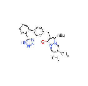 CCCCc1c(Cc2ccc(-c3ccccc3-c3nnn[nH]3)cc2)c(=O)n2cc(C)c(C)cn12